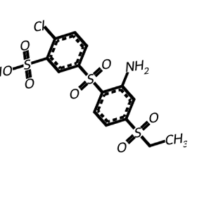 CCS(=O)(=O)c1ccc(S(=O)(=O)c2ccc(Cl)c(S(=O)(=O)O)c2)c(N)c1